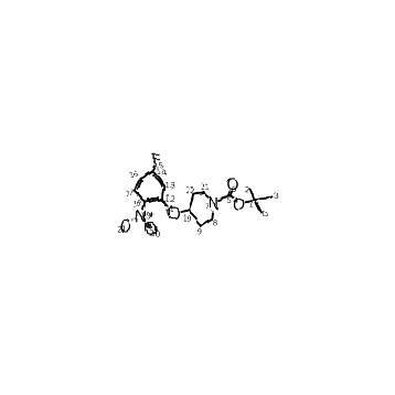 CC(C)(C)OC(=O)N1CCC(Oc2cc(F)ccc2[N+](=O)[O-])CC1